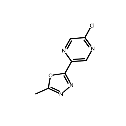 Cc1nnc(-c2cnc(Cl)cn2)o1